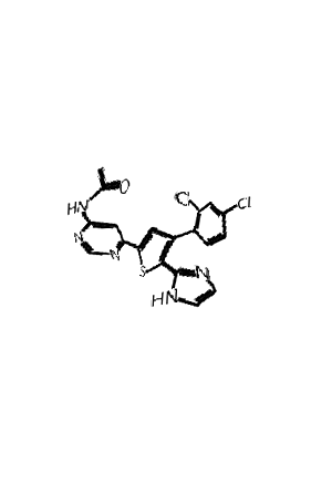 CC(=O)Nc1cc(-c2cc(-c3ccc(Cl)cc3Cl)c(-c3ncc[nH]3)s2)ncn1